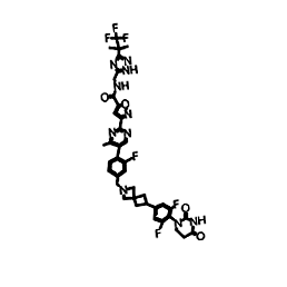 Cc1nc(-c2cc(C(=O)NCc3nc(C(C)(C)C(F)(F)F)n[nH]3)on2)ncc1-c1ccc(CN2CC3(CC(c4cc(F)c(N5CCC(=O)NC5=O)c(F)c4)C3)C2)cc1F